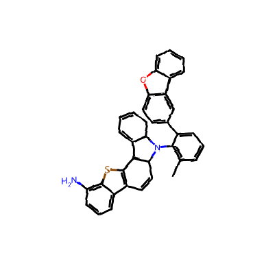 Cc1cccc(-c2ccc3oc4ccccc4c3c2)c1N1C2CC=CC=C2C2c3sc4c(N)cccc4c3C=CC21